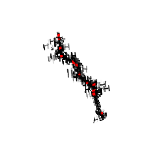 CCCCNC(=O)[C@@H](N)CCCCNC(=O)CNC(=O)[C@H](CO)NC(=O)CNC(=O)CNC(=O)CNC(=O)[C@H](CO)NC(=O)CNC(=O)[C@H](CO)NC(=O)CNC(=O)CNC(=O)CNC(=O)[C@H](CO)NC(=O)CC[C@H](NC(=O)CCCCCCCCCCOC1CCC(C(=O)O)CC1)C(=O)O